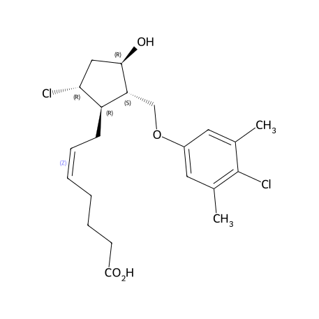 Cc1cc(OC[C@@H]2[C@@H](C/C=C\CCCC(=O)O)[C@H](Cl)C[C@H]2O)cc(C)c1Cl